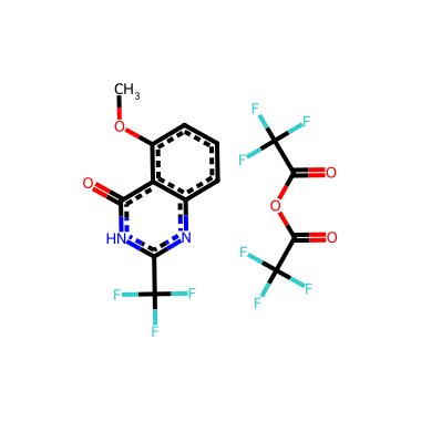 COc1cccc2nc(C(F)(F)F)[nH]c(=O)c12.O=C(OC(=O)C(F)(F)F)C(F)(F)F